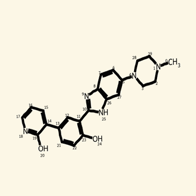 CN1CCN(c2ccc3nc(-c4cc(-c5cccnc5O)ccc4O)[nH]c3c2)CC1